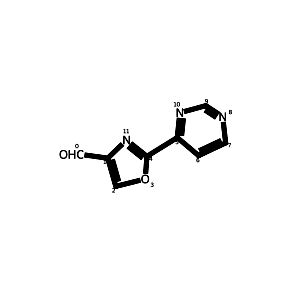 O=Cc1coc(-c2ccncn2)n1